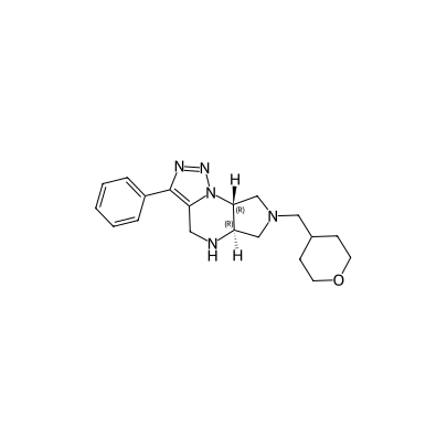 c1ccc(-c2nnn3c2CN[C@@H]2CN(CC4CCOCC4)C[C@H]23)cc1